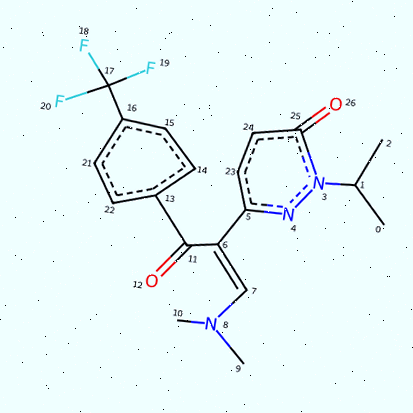 CC(C)n1nc(/C(=C/N(C)C)C(=O)c2ccc(C(F)(F)F)cc2)ccc1=O